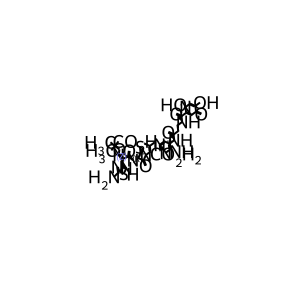 CC(C)(O/N=C(\C(=O)N[C@@H]1C(=O)N2C(C(=O)O)=C(C[n+]3cnc(N)c(NC(=O)CCNC(=O)c4cc(=O)c(O)cn4O)c3)CSC12)c1nsc(N)n1)C(=O)O